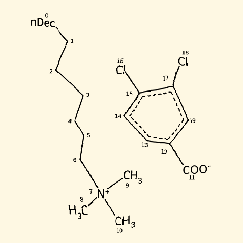 CCCCCCCCCCCCCCCC[N+](C)(C)C.O=C([O-])c1ccc(Cl)c(Cl)c1